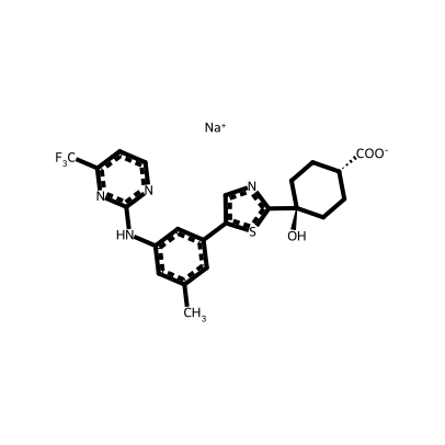 Cc1cc(Nc2nccc(C(F)(F)F)n2)cc(-c2cnc([C@]3(O)CC[C@H](C(=O)[O-])CC3)s2)c1.[Na+]